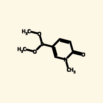 COB(OC)c1ccc(=O)n(C)c1